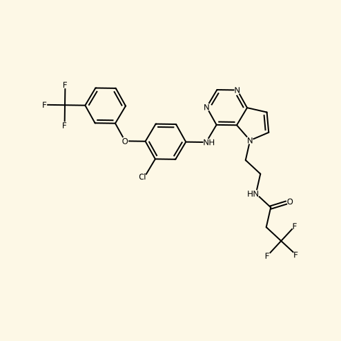 O=C(CC(F)(F)F)NCCn1ccc2ncnc(Nc3ccc(Oc4cccc(C(F)(F)F)c4)c(Cl)c3)c21